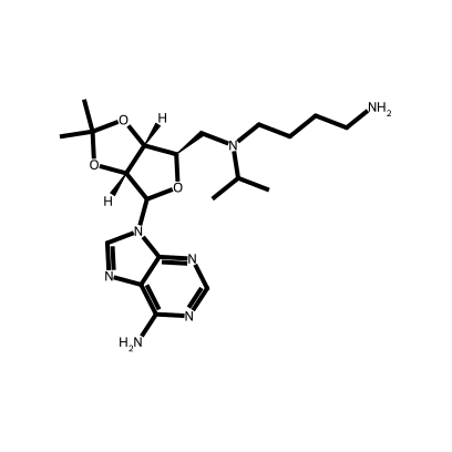 CC(C)N(CCCCN)C[C@H]1OC(n2cnc3c(N)ncnc32)[C@@H]2OC(C)(C)O[C@H]12